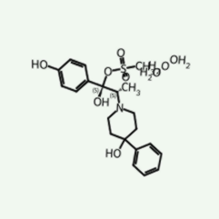 C[C@H](N1CCC(O)(c2ccccc2)CC1)[C@@](O)(OS(C)(=O)=O)c1ccc(O)cc1.O.O.O